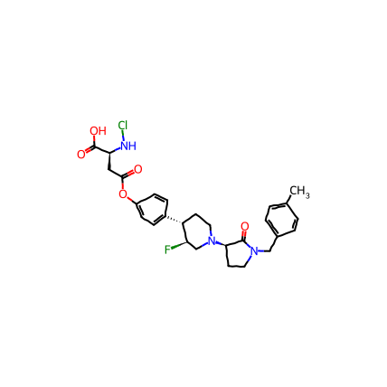 Cc1ccc(CN2CC[C@@H](N3CC[C@@H](c4ccc(OC(=O)C[C@H](NCl)C(=O)O)cc4)[C@H](F)C3)C2=O)cc1